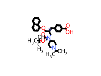 CC(C)N1CCC(N(C/C(=C\c2ccc(C(=O)O)cc2)COc2cccc3ccccc23)C(=O)OC(C)(C)C)CC1